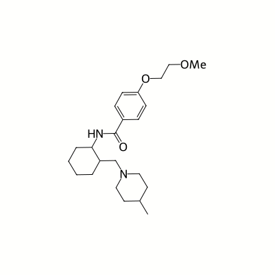 COCCOc1ccc(C(=O)NC2CCCCC2CN2CCC(C)CC2)cc1